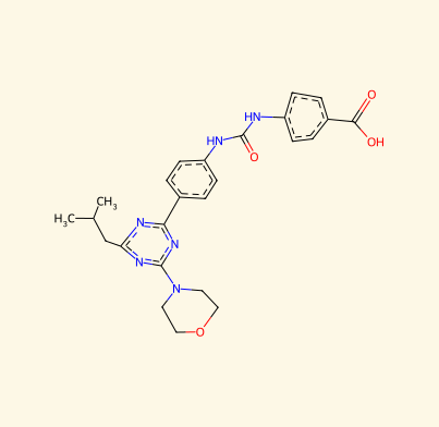 CC(C)Cc1nc(-c2ccc(NC(=O)Nc3ccc(C(=O)O)cc3)cc2)nc(N2CCOCC2)n1